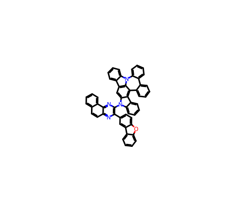 c1ccc2c(c1)-c1ccccc1-n1c3ccccc3c3cc4c(c-2c31)c1ccccc1n4-c1nc2c(ccc3ccccc32)nc1-c1ccc2oc3ccccc3c2c1